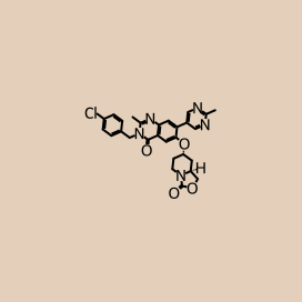 Cc1ncc(-c2cc3nc(C)n(Cc4ccc(Cl)cc4)c(=O)c3cc2O[C@H]2CCN3C(=O)OC[C@@H]3C2)cn1